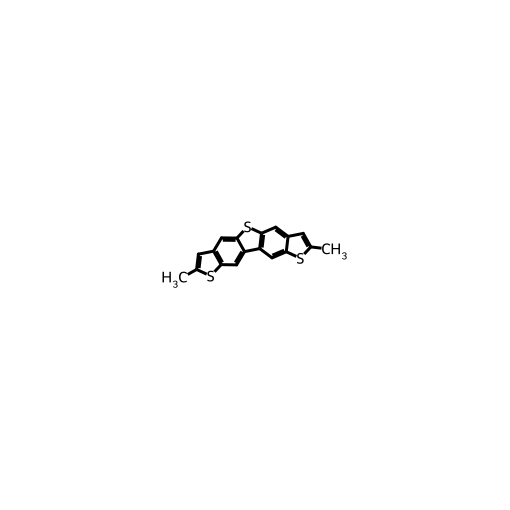 Cc1cc2cc3sc4cc5cc(C)sc5cc4c3cc2s1